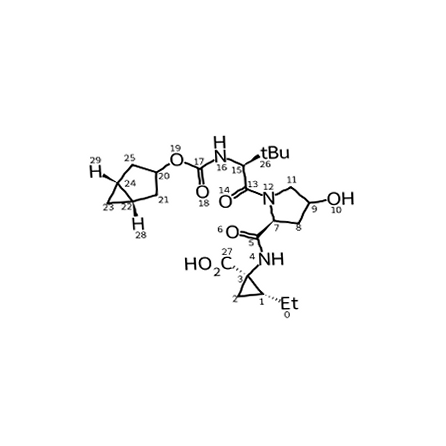 CC[C@@H]1C[C@]1(NC(=O)[C@@H]1CC(O)CN1C(=O)[C@@H](NC(=O)OC1C[C@@H]2C[C@@H]2C1)C(C)(C)C)C(=O)O